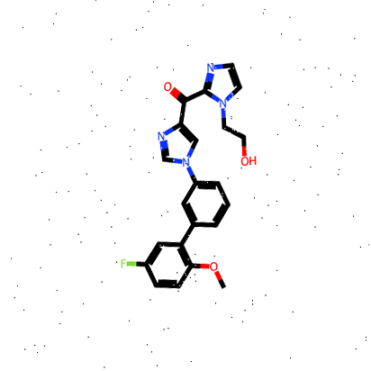 COc1ccc(F)cc1-c1cccc(-n2cnc(C(=O)c3nccn3CCO)c2)c1